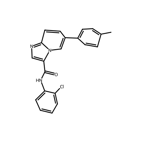 Cc1ccc(-c2ccc3ncc(C(=O)Nc4ccccc4Cl)n3c2)cc1